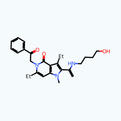 C=C(NCCCCO)c1c(CC)c2c(=O)n(CC(=O)c3ccccc3)c(CC)cc2n1C